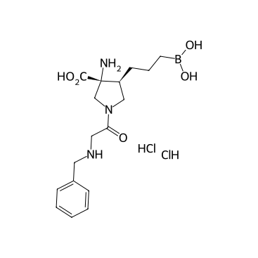 Cl.Cl.N[C@@]1(C(=O)O)CN(C(=O)CNCc2ccccc2)C[C@@H]1CCCB(O)O